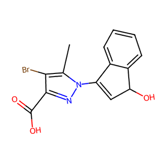 Cc1c(Br)c(C(=O)O)nn1C1=CC(O)c2ccccc21